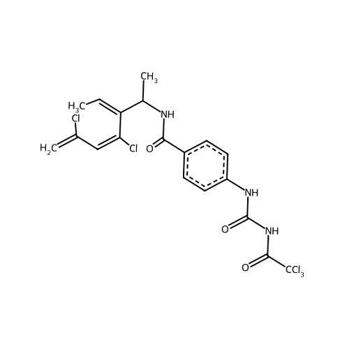 C=C(Cl)/C=C(Cl)\C(=C/C)C(C)NC(=O)c1ccc(NC(=O)NC(=O)C(Cl)(Cl)Cl)cc1